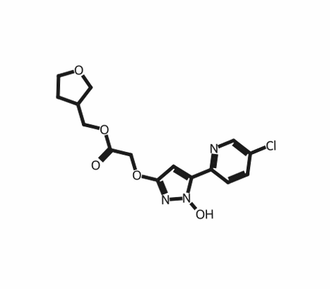 O=C(COc1cc(-c2ccc(Cl)cn2)n(O)n1)OCC1CCOC1